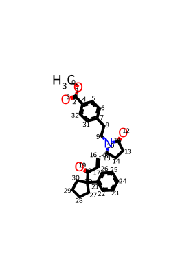 COC(=O)c1ccc(CCN2C(=O)CC[C@@H]2C=CC(=O)C2(c3ccccc3)CCCC2)cc1